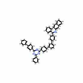 c1ccc(-c2ccc(-c3nc(-c4ccccc4)nc(-c4ccc(-c5cccc(-c6ccc(-c7nc8cc9ccccc9cc8c8ccccc78)cc6)c5)cc4)n3)cc2)cc1